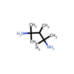 CC(C(C)(C)N)C(C)(C)N